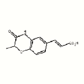 CC1Oc2ccc(/C=C/C(=O)O)cc2NC1=O